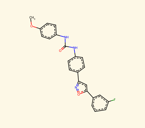 COc1ccc(NC(=O)Nc2ccc(-c3cc(-c4cccc(F)c4)on3)cc2)cc1